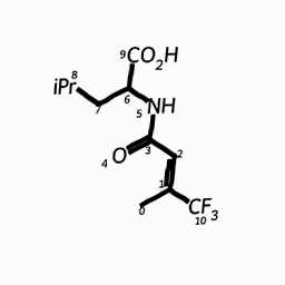 C/C(=C\C(=O)NC(CC(C)C)C(=O)O)C(F)(F)F